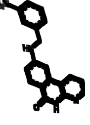 O=c1[nH]c2ncccc2c2cc(NCc3cccc([N+](=O)[O-])c3)ccc12